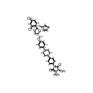 CCCn1c(=O)n(-c2ccc(N3CCN(c4ccc(OC[C@@H]5CO[C@@](Cn6cncn6)(c6ccc(Cl)cc6Cl)O5)cc4)CC3)cc2)c(=O)n1CCC